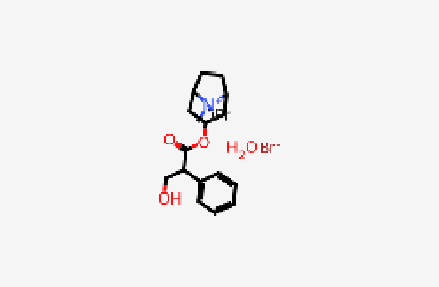 CC(C)[N+]1(C)C2CCC1CC(OC(=O)C(CO)c1ccccc1)C2.O.[Br-]